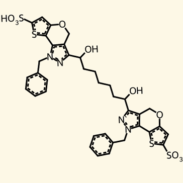 O=S(=O)(O)c1cc2c(s1)-c1c(c(C(O)CCCCCC(O)c3nn(Cc4ccccc4)c4c3COc3cc(S(=O)(=O)O)sc3-4)nn1Cc1ccccc1)CO2